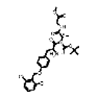 COC(=O)CNC(=O)[C@@H](C)N(C(=O)OC(C)(C)C)C(=O)C(N)Cc1ccc(OCc2c(Cl)cccc2Cl)cc1